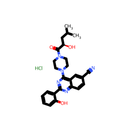 CC(C)C[C@@H](O)C(=O)N1CCN(c2nc(-c3ccccc3O)nc3ccc(C#N)cc23)CC1.Cl